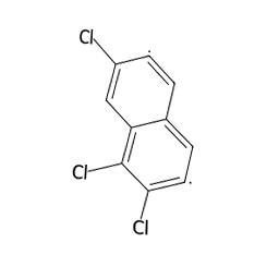 Clc1[c]cc2c[c]c(Cl)c(Cl)c2c1